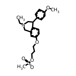 CCN1Cc2cc(OCCCOS(C)(=O)=O)ccc2C(c2ccc(OC)cc2)C1